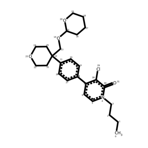 CCCCn1ccc(-c2ccc(C3(COC4CCCCO4)CCOCC3)cc2)c(Cl)c1=O